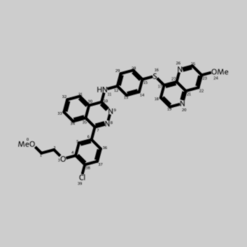 COCCOc1cc(-c2nnc(Nc3ccc(Sc4ccnc5cc(OC)cnc45)cc3)c3ccccc23)ccc1Cl